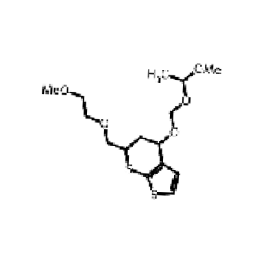 COCCOCC1CC(OCOC(C)OC)c2ccsc2S1